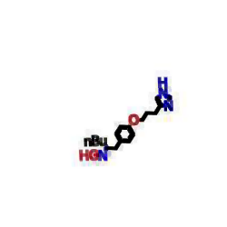 CCCC/C(Cc1ccc(OCCCc2c[nH]cn2)cc1)=N\O